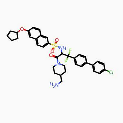 NCC1CCN(C(=O)C(NS(=O)(=O)c2ccc3cc(OC4CCCC4)ccc3c2)C(F)(F)c2ccc(-c3ccc(Cl)cc3)cc2)CC1